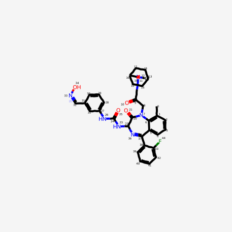 Cc1cccc2c1N(CC(=O)N1CC3CCC(CC3)C1)C(=O)C(NC(=O)Nc1cccc(/C=N\O)c1)N=C2c1ccccc1F